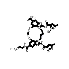 CCn1nc(C)cc1C(=O)Nc1nc2cc(C(N)=O)cc3c2n1C/C=C/Cn1c(NC(=O)c2cc(C)nn2CC)nc2cc(C(=O)NCCC(=O)O)cc(c21)OCCCO3